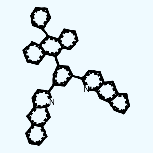 c1ccc(-c2c3ccccc3c(-c3cc(-c4ccc5cc6ccccc6cc5n4)cc(-c4ccc5cc6ccccc6cc5n4)c3)c3ccccc23)cc1